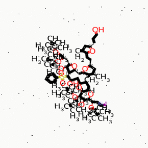 C=C1C[C@H](CCCO)OC1CC[C@H]1C[C@@H](C)C(=C)C(C[C@@H]2O[C@H](C[C@@H](CO[Si](C)(C)C(C)(C)C)O[Si](C)(C)C(C)(C)C)[C@H](OC)[C@H]2C(C(O)CC2CC[C@@H]3O[C@@H]([C@H](/C=C/I)O[Si](C)(C)C(C)(C)C)[C@@H](O[Si](C)(C)C(C)(C)C)[C@@H](O[Si](C)(C)C(C)(C)C)C3O2)S(=O)(=O)c2ccccc2)O1